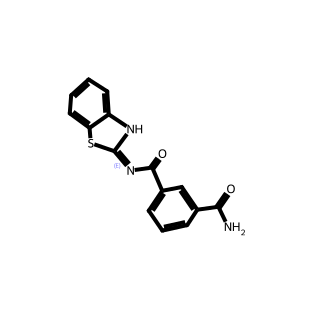 NC(=O)c1cccc(C(=O)/N=c2\[nH]c3ccccc3s2)c1